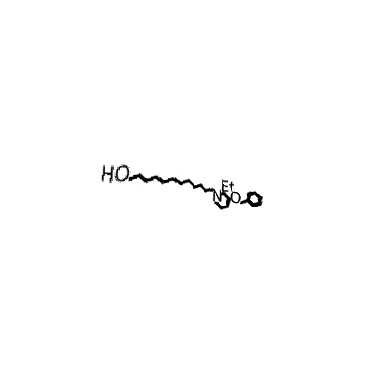 CCC1C(OCc2ccccc2)=CC=CN1CCCCCCCCCCCCO